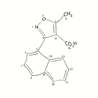 Cc1onc(-c2cccc3ccccc23)c1C(=O)O